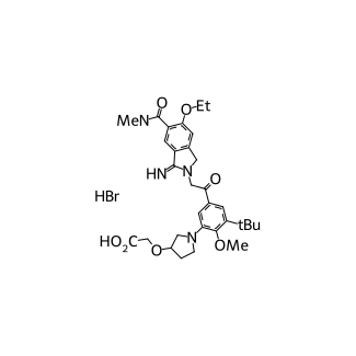 Br.CCOc1cc2c(cc1C(=O)NC)C(=N)N(CC(=O)c1cc(N3CCC(OCC(=O)O)C3)c(OC)c(C(C)(C)C)c1)C2